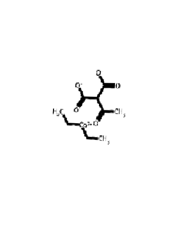 CC(=O)C(C(=O)[O-])C(=O)[O-].C[CH2][Co+2][CH2]C